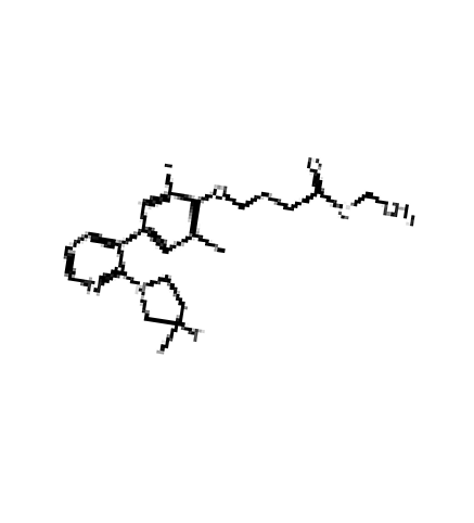 CCOC(=O)CCCOc1c(F)cc(-c2cccnc2N2CCC(F)(F)C2)cc1F